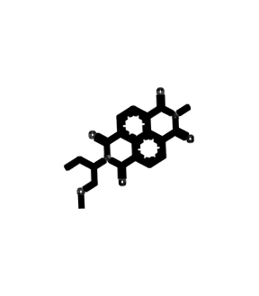 CCC(COC)N1C(=O)c2ccc3c4c(ccc(c24)C1=O)C(=O)N(C)C3=O